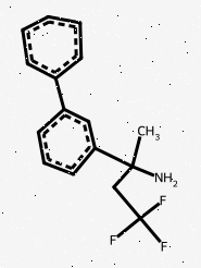 CC(N)(CC(F)(F)F)c1cccc(-c2ccccc2)c1